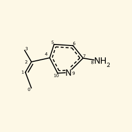 C/C=C(/C)c1ccc(N)nc1